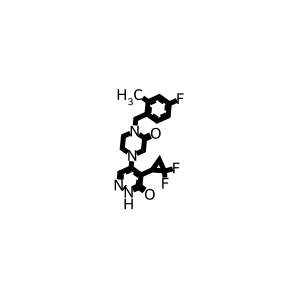 Cc1cc(F)ccc1CN1CCN(c2cn[nH]c(=O)c2C2CC2(F)F)CC1=O